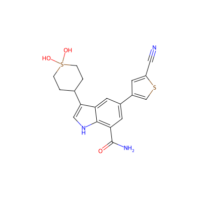 N#Cc1cc(-c2cc(C(N)=O)c3[nH]cc(C4CCS(O)(O)CC4)c3c2)cs1